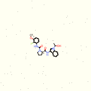 CC(O)n1cc(NC(=O)[C@H]2CCCN2C(=O)Nc2cccc(OC(F)(F)F)c2F)c2ccccc21